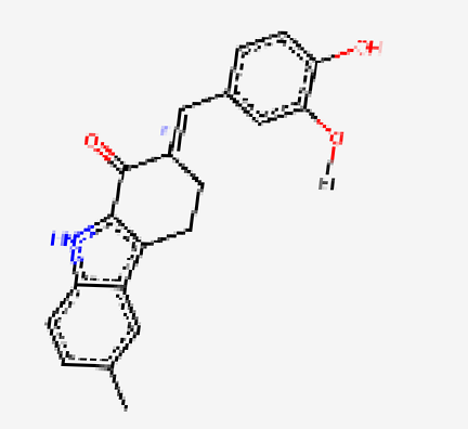 CCOc1cc(/C=C2\CCc3c([nH]c4ccc(C)cc34)C2=O)ccc1O